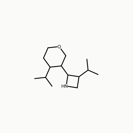 CC(C)C1CCOCC1C1NCC1C(C)C